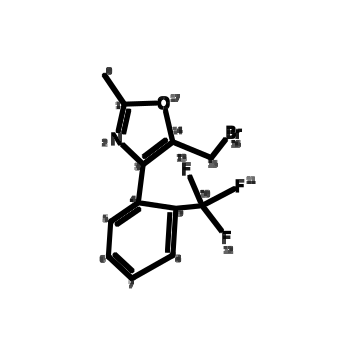 Cc1nc(-c2ccccc2C(F)(F)F)c(CBr)o1